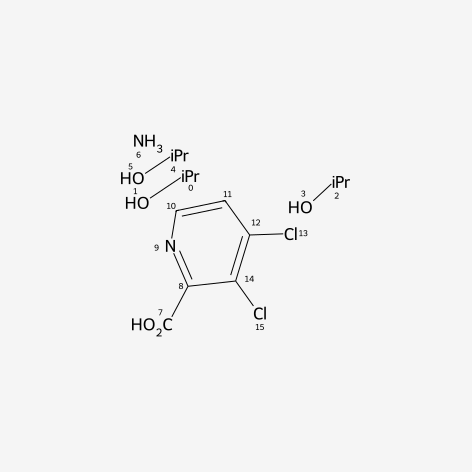 CC(C)O.CC(C)O.CC(C)O.N.O=C(O)c1nccc(Cl)c1Cl